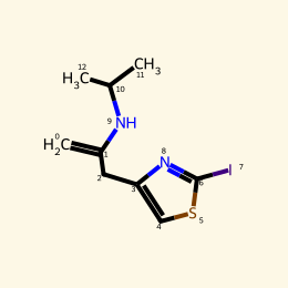 C=C(Cc1csc(I)n1)NC(C)C